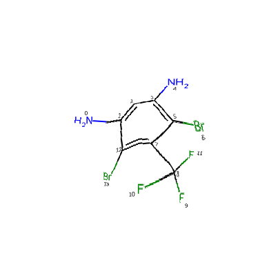 Nc1cc(N)c(Br)c(C(F)(F)F)c1Br